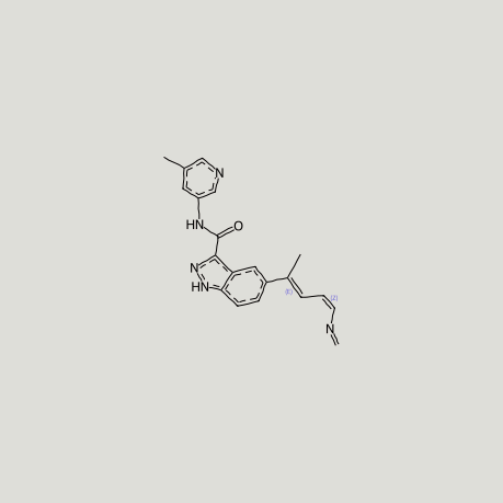 C=N/C=C\C=C(/C)c1ccc2[nH]nc(C(=O)Nc3cncc(C)c3)c2c1